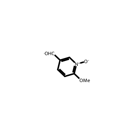 COc1ccc([C]=O)c[n+]1[O-]